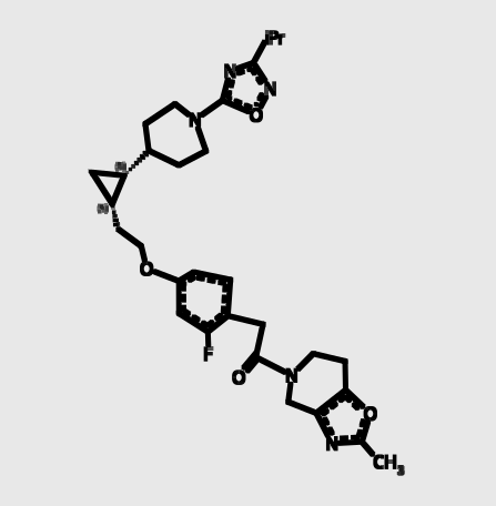 Cc1nc2c(o1)CCN(C(=O)Cc1ccc(OCC[C@@H]3C[C@@H]3C3CCN(c4nc(C(C)C)no4)CC3)cc1F)C2